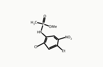 CCc1cc(Cl)c(NP(C)(=O)OC)cc1[N+](=O)[O-]